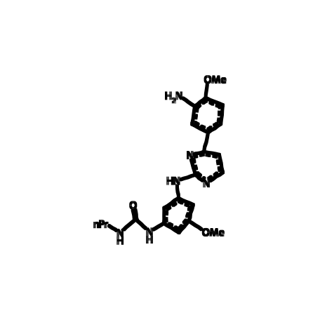 CCCNC(=O)Nc1cc(Nc2nccc(-c3ccc(OC)c(N)c3)n2)cc(OC)c1